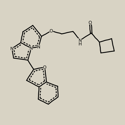 O=C(NCCOc1ccc2ncc(-c3cc4ccccc4o3)n2n1)C1CCC1